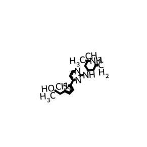 C=C1CC(Nc2nccc(-c3ccc(CC(C)(C)O)s3)n2)CC(C)(C)N1